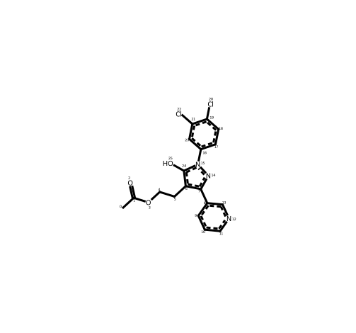 CC(=O)OCCc1c(-c2cccnc2)nn(-c2ccc(Cl)c(Cl)c2)c1O